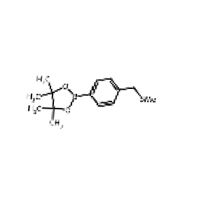 CSCc1ccc(B2OC(C)(C)C(C)(C)O2)cc1